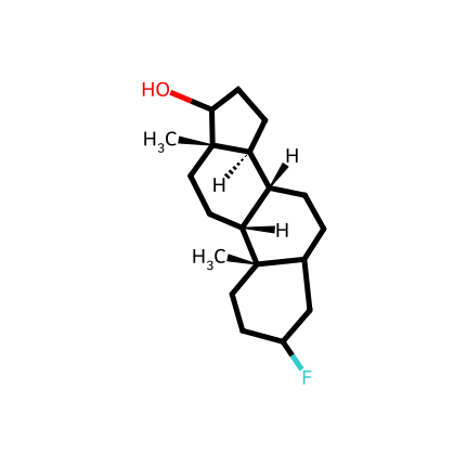 C[C@]12CCC(F)CC1CC[C@@H]1[C@H]2CC[C@]2(C)C(O)CC[C@@H]12